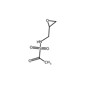 CC(=O)S(=O)(=O)NCC1CO1